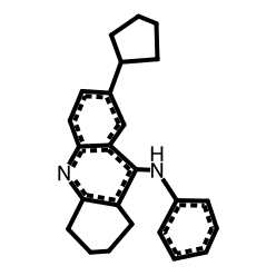 c1ccc(Nc2c3c(nc4ccc(C5CCCC5)cc24)CCCC3)cc1